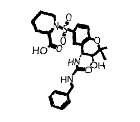 CC1(C)Oc2ccc(S(=O)(=O)N3CCCCC3C(=O)O)cc2[C@@H](NC(=O)NCc2ccccc2)[C@@H]1O